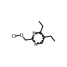 CCc1cnc(COCl)nc1CC